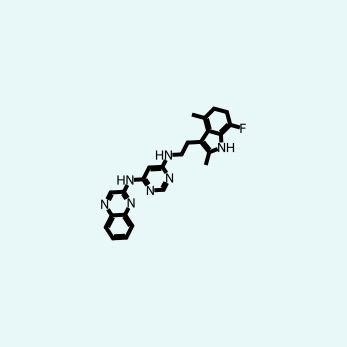 CC1=c2c(CCNc3cc(Nc4cnc5ccccc5n4)ncn3)c(C)[nH]c2=C(F)CC1